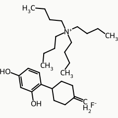 C=C1CCC(c2ccc(O)cc2O)CC1.CCCC[N+](CCCC)(CCCC)CCCC.[F-]